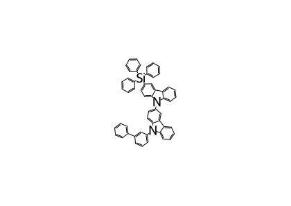 c1ccc(-c2cccc(-n3c4ccccc4c4cc(-n5c6ccccc6c6cc([Si](c7ccccc7)(c7ccccc7)c7ccccc7)ccc65)ccc43)c2)cc1